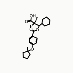 CC1(Oc2ccc(C(=O)OC(C3CCCCC3)C(F)(F)C(=O)O)cc2)CCCC1